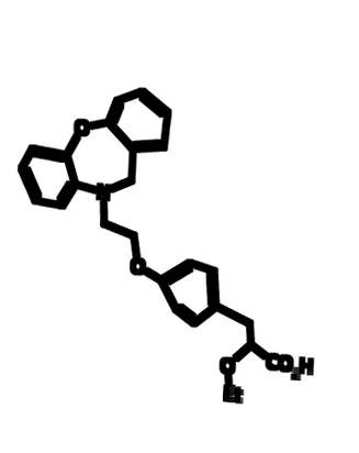 CCOC(Cc1ccc(OCCN2Cc3ccccc3Oc3ccccc32)cc1)C(=O)O